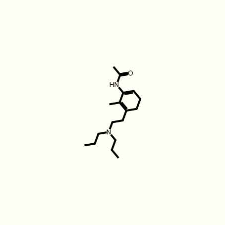 CCCN(CCC)CCC1=C(C)C(NC(C)=O)=CCC1